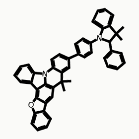 CC1(C)c2cc(-c3ccc(N4c5ccccc5C(C)(C)C4c4ccccc4)cc3)ccc2-n2c3ccccc3c3c4oc5ccccc5c4cc1c32